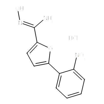 Cl.NC(=NO)c1ccc(-c2ccccc2[N+](=O)[O-])o1